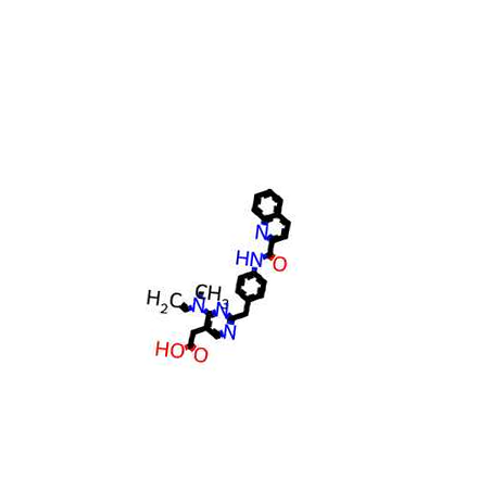 C=CN(C)c1nc(Cc2ccc(NC(=O)c3ccc4ccccc4n3)cc2)ncc1CC(=O)O